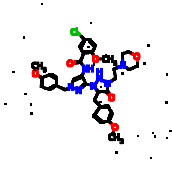 COc1ccc(CC2C(=O)N(CCN3CCOCC3)NN2c2nn(Cc3ccc(OC)cc3)cc2NC(=O)c2cc(Cl)ccc2OC)cc1